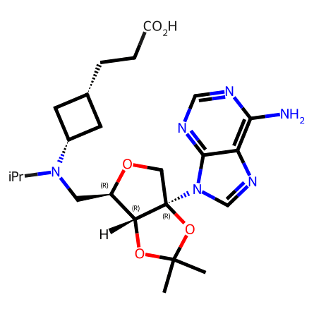 CC(C)N(C[C@H]1OC[C@@]2(n3cnc4c(N)ncnc43)OC(C)(C)O[C@H]12)[C@H]1C[C@@H](CCC(=O)O)C1